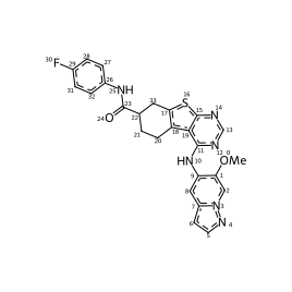 COc1cn2nccc2cc1Nc1ncnc2sc3c(c12)CCC(C(=O)Nc1ccc(F)cc1)C3